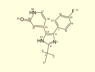 CC(C)(C)c1nc(-c2ccc(F)cc2)c(-c2cc[nH]c(=O)c2)[nH]1